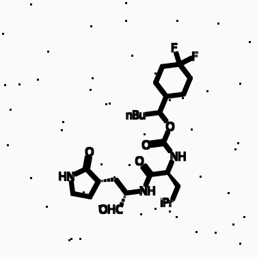 CCCCC(OC(=O)N[C@@H](CC(C)C)C(=O)N[C@H](C=O)C[C@@H]1CCNC1=O)C1CCC(F)(F)CC1